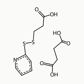 O=C(O)CCC(=O)O.O=C(O)CCSSc1ccccn1